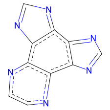 C1=Nc2c(c3c(c4nccnc24)N=CN=3)=N1